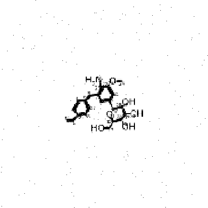 CCc1ccc(Cc2cc([C@@H]3O[C@H](CO)[C@@H](O)[C@H](O)[C@H]3O)cc(OC)c2N)cc1